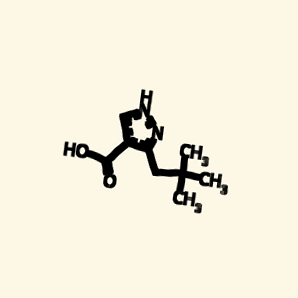 CC(C)(C)Cc1n[nH]cc1C(=O)O